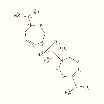 CC(C)C1=CCCN(C(C)(C)C(C)(C)C2C=CCN(C(C)C)CC2)CC1